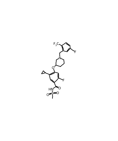 CS(=O)(=O)NC(=O)c1cc(C2CC2)c(OC2CCCN(Cc3cc(F)ccc3C(F)(F)F)C2)cc1F